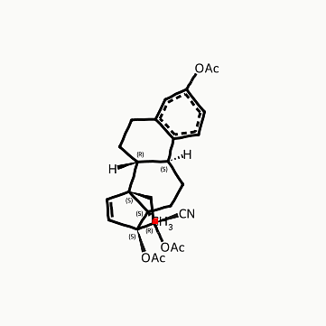 CC(=O)Oc1ccc2c(c1)CC[C@@H]1[C@@H]2CC[C@]2(C)[C@@]3(OC(C)=O)C=C[C@]12C[C@]3(C#N)OC(C)=O